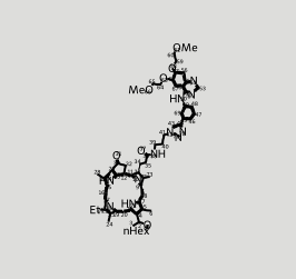 CCCCCCOC(C)c1c(C)c2cc3nc(c4c5[nH]c(cc6nc(cc1[nH]2)C(C)=C6CC)c(C)c5C(=O)C4)[C@@H](CCC(=O)NCCCn1cc(-c2cccc(Nc4ncnc5cc(OCCOC)c(OCCOC)cc45)c2)nn1)C3C